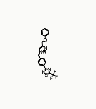 FC(F)(F)c1nc(-c2ccc(Cn3cc(COc4ccccc4)nn3)cc2)no1